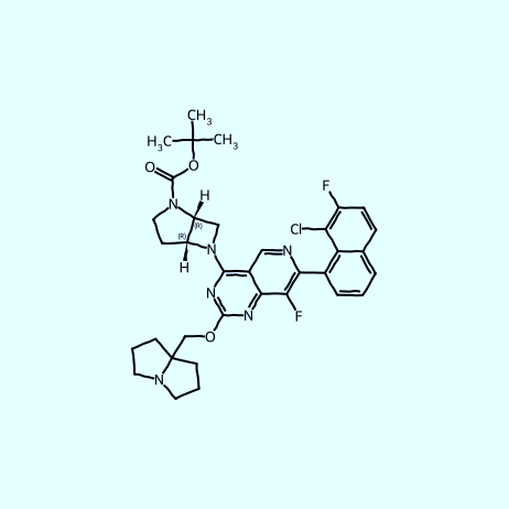 CC(C)(C)OC(=O)N1CC[C@@H]2[C@H]1CN2c1nc(OCC23CCCN2CCC3)nc2c(F)c(-c3cccc4ccc(F)c(Cl)c34)ncc12